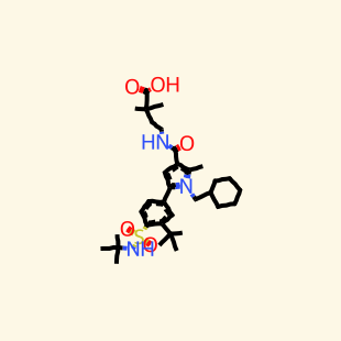 Cc1c(C(=O)NCCC(C)(C)C(=O)O)cc(-c2ccc(S(=O)(=O)NC(C)(C)C)c(C(C)(C)C)c2)n1CC1CCCCC1